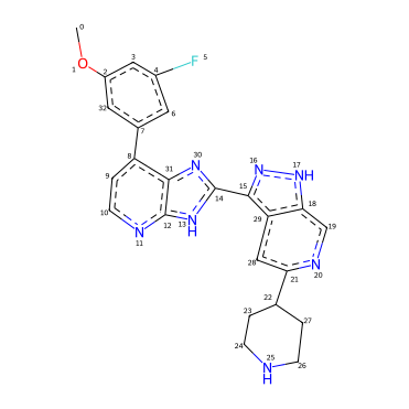 COc1cc(F)cc(-c2ccnc3[nH]c(-c4n[nH]c5cnc(C6CCNCC6)cc45)nc23)c1